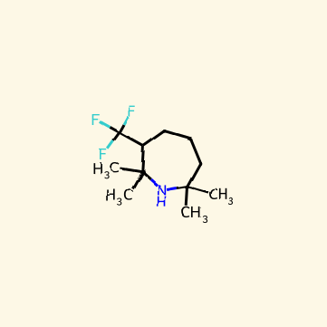 CC1(C)CCCC(C(F)(F)F)C(C)(C)N1